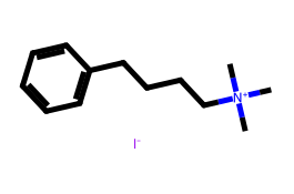 C[N+](C)(C)CCCCc1ccccc1.[I-]